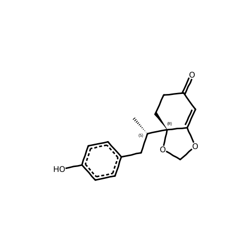 C[C@@H](Cc1ccc(O)cc1)[C@]12CCC(=O)C=C1OCO2